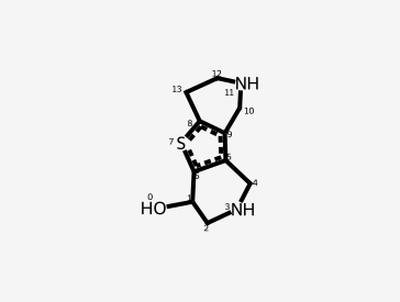 OC1CNCc2c1sc1c2CNCC1